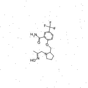 CC(CN1CCCC1COc1ccc(C(F)(F)F)cc1C(N)=O)=NO